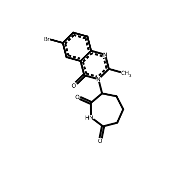 Cc1nc2ccc(Br)cc2c(=O)n1C1CCCC(=O)NC1=O